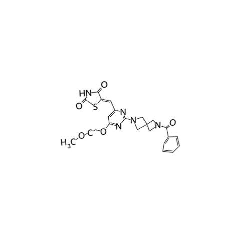 COCCOc1cc(/C=C2\SC(=O)NC2=O)nc(N2CC3(CN(C(=O)c4ccccc4)C3)C2)n1